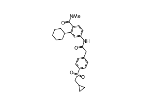 CNC(=O)c1ccc(NC(=O)Cc2ccc(S(=O)(=O)CC3CC3)cc2)cc1C1CCCCC1